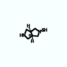 SN1C[C@H]2CNC[C@H]2C1